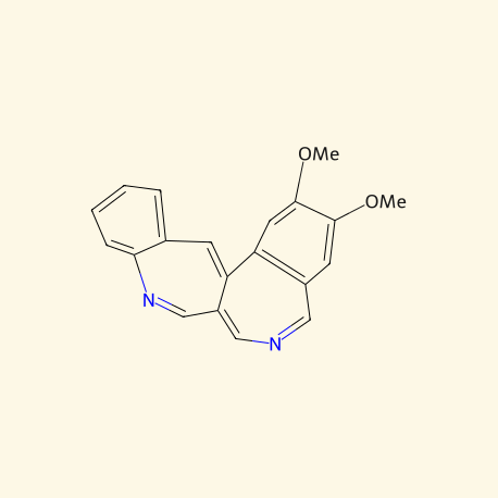 COc1cc2c(cc1OC)C1=Cc3ccccc3N=CC1=CN=C2